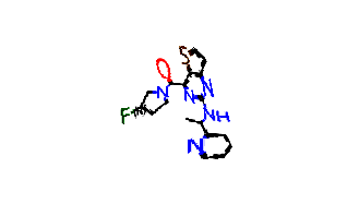 CC(Nc1nc(C(=O)N2CC[C@@H](F)C2)c2sccc2n1)c1ccccn1